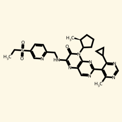 CCS(=O)(=O)c1ccc(CNc2nc3cnc(-c4c(C)ncnc4C4CC4)nc3n(C3CCC[C@@H]3C)c2=O)nc1